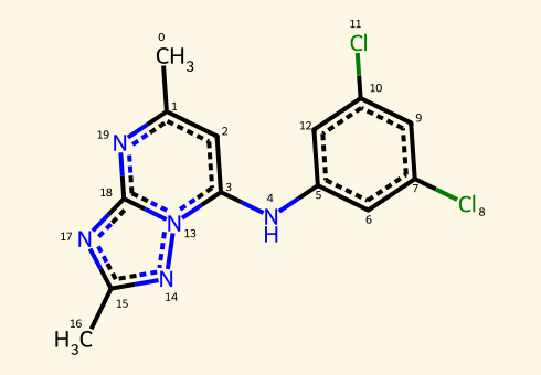 Cc1cc(Nc2cc(Cl)cc(Cl)c2)n2nc(C)nc2n1